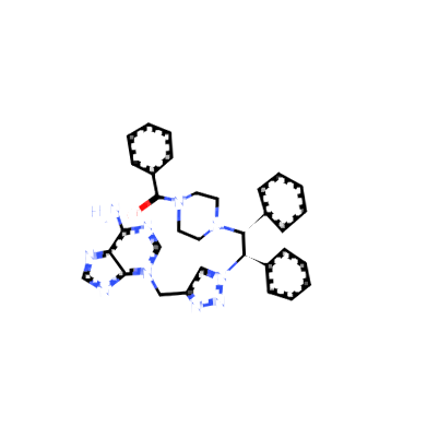 Nc1ncn(Cc2cn([C@H](c3ccccc3)[C@H](c3ccccc3)N3CCN(C(=O)c4ccccc4)CC3)nn2)c2ncnc1-2